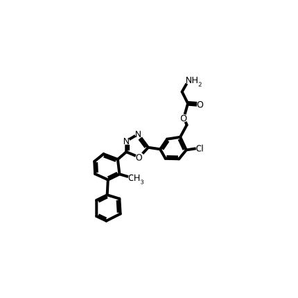 Cc1c(-c2ccccc2)cccc1-c1nnc(-c2ccc(Cl)c(COC(=O)CN)c2)o1